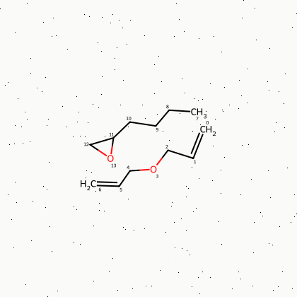 C=CCOCC=C.CCCCC1CO1